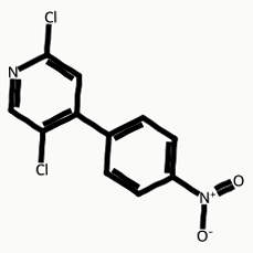 O=[N+]([O-])c1ccc(-c2cc(Cl)ncc2Cl)cc1